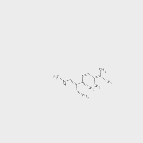 C=C/C(=C\NC)C(=C)/C=C\C(C)=C(C)C